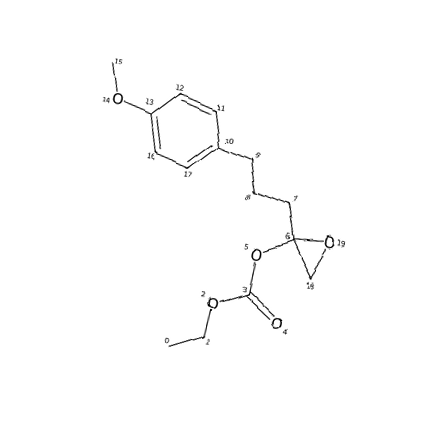 CCOC(=O)OC1(CCCc2ccc(OC)cc2)CO1